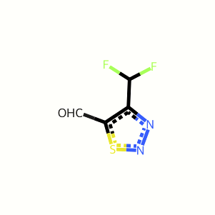 O=Cc1snnc1C(F)F